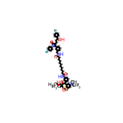 CCCCC1(CC)CS(=O)(=O)c2ccc(N(C)C)cc2C(c2cccc(NC(=O)CCCCCCCCCCC(=O)NCc3cccc(C4C(CCC(O)c5ccc(F)cc5)C(=O)N4c4ccc(F)cc4)c3)c2)C1O